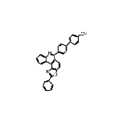 N#Cc1ccc(-c2ccc(-c3nc4ccccc4c4c3ccc3oc(-c5ccccc5)nc34)cc2)cc1